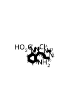 Nc1cccc2c1c(C1=CC=NCN1Cl)nn2C(=O)O